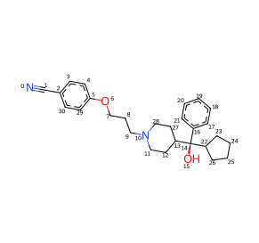 N#Cc1ccc(OCCCN2CCC([C@](O)(c3ccccc3)C3CCCC3)CC2)cc1